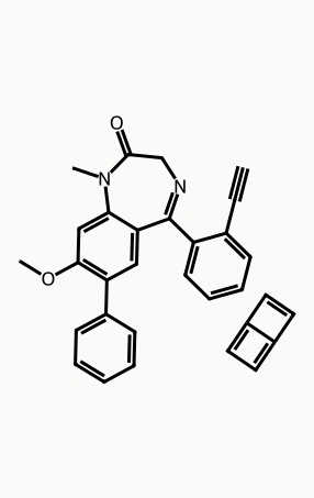 C#Cc1ccccc1C1=NCC(=O)N(C)c2cc(OC)c(-c3ccccc3)cc21.c1cc2ccc1-2